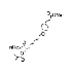 C=C(C)C(=O)OCC(CCCCCCOc1ccc(C=CC(=O)OC)cc1)C(=O)CCCCCC